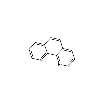 [c]1ccc2ccc3cccnc3c2n1